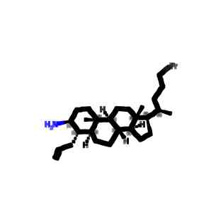 C=CC[C@@H]1[C@@H](N)CC[C@@]2(C)[C@H]1CC[C@@H]1[C@@H]2CC[C@]2(C)[C@@H]([C@H](C)CCCC(C)C)CC[C@@H]12